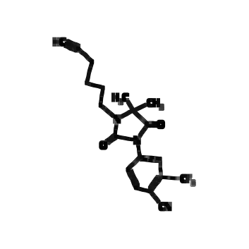 C#CCCCCN1C(=O)N(c2ccc(C#N)c(C(F)(F)F)c2)C(=O)C1(C)C